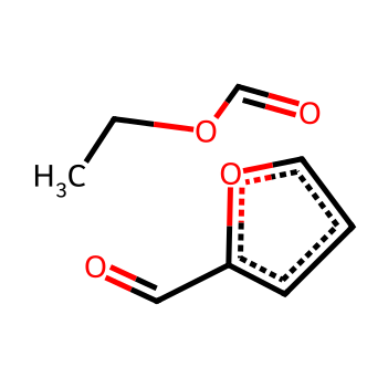 CCOC=O.O=Cc1ccco1